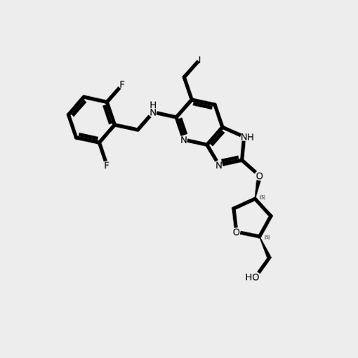 OC[C@@H]1C[C@H](Oc2nc3nc(NCc4c(F)cccc4F)c(CI)cc3[nH]2)CO1